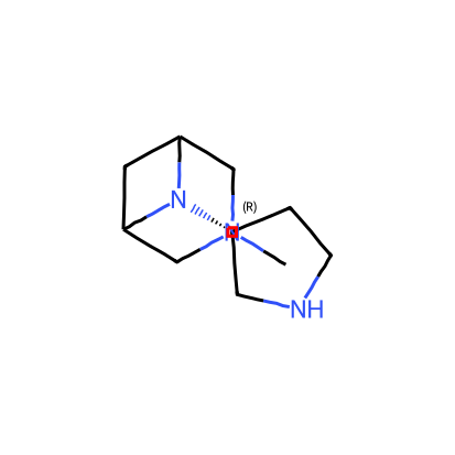 CN1CC2CC(C1)N2[C@@H]1CCNC1